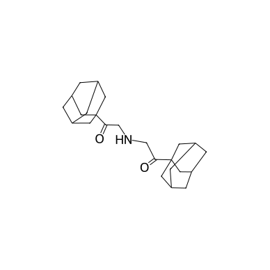 O=C(CNCC(=O)C12CC3CC(CC(C3)C1)C2)C12CC3CC(CC(C3)C1)C2